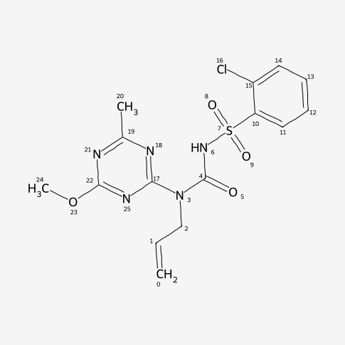 C=CCN(C(=O)NS(=O)(=O)c1ccccc1Cl)c1nc(C)nc(OC)n1